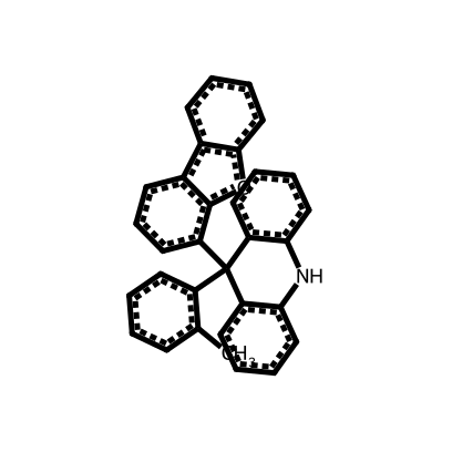 Cc1ccccc1C1(c2cccc3c2oc2ccccc23)c2ccccc2Nc2ccccc21